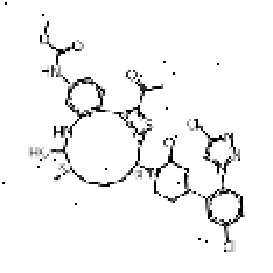 COC(=O)Nc1ccc2c(c1)NC(O)[C@H](C)CCC[C@H](N1CCC(c3cc(Cl)ccc3-n3cc(Cl)nn3)=CC1=O)c1cc-2c(C(C)=O)s1